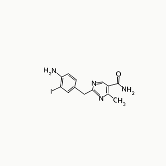 Cc1nc(Cc2ccc(N)c(I)c2)ncc1C(N)=O